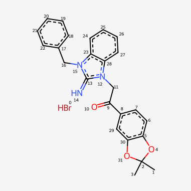 Br.CC1(C)Oc2ccc(C(=O)Cn3c(=N)n(Cc4ccccc4)c4ccccc43)cc2O1